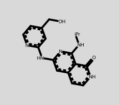 CC(C)Nc1nc(Nc2cc(CO)ccn2)cc2cc[nH]c(=O)c12